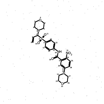 C=CC(N1CCOCC1)S(=O)(=O)c1ccc(NC(=O)c2cc(N3CCOCC3)ccc2[N+](=O)[O-])cc1